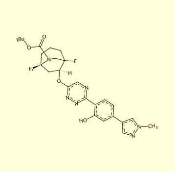 Cn1cc(-c2ccc(-c3ncc(O[C@H]4C[C@@H]5CCCC4(F)CN5C(=O)OC(C)(C)C)nn3)c(O)c2)cn1